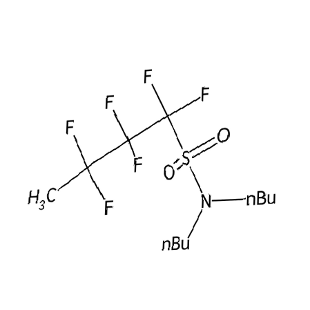 CCCCN(CCCC)S(=O)(=O)C(F)(F)C(F)(F)C(C)(F)F